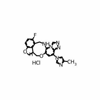 Cc1cn(-c2cc3c(n4cnnc24)NCc2c(F)ccc4c2[C@@H](CO4)CO3)cn1.Cl